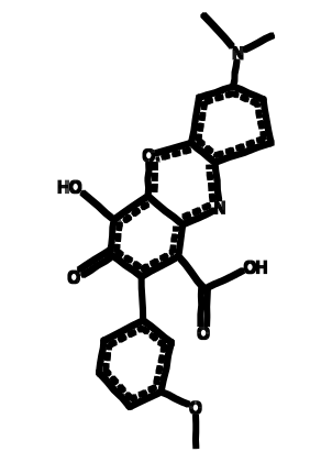 COc1cccc(-c2c(C(=O)O)c3nc4ccc(N(C)C)cc4oc-3c(O)c2=O)c1